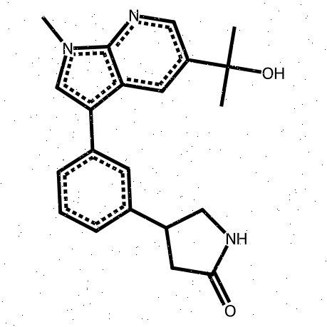 Cn1cc(-c2cccc(C3CNC(=O)C3)c2)c2cc(C(C)(C)O)cnc21